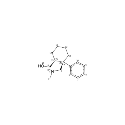 CN(C)C[C@]1(c2ccccc2)CCCC[C@@H]1CO